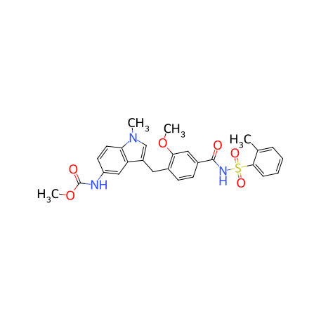 COC(=O)Nc1ccc2c(c1)c(Cc1ccc(C(=O)NS(=O)(=O)c3ccccc3C)cc1OC)cn2C